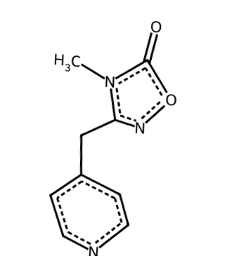 Cn1c(Cc2ccncc2)noc1=O